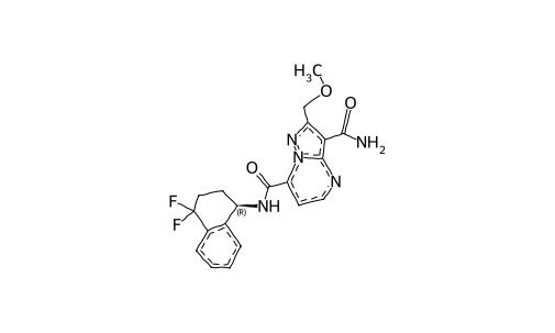 COCc1nn2c(C(=O)N[C@@H]3CCC(F)(F)c4ccccc43)ccnc2c1C(N)=O